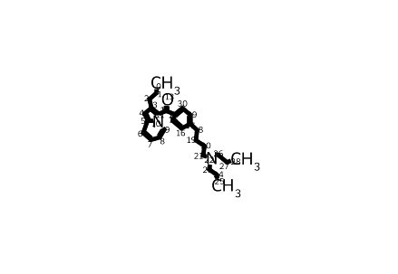 CCCc1cc2ccccn2c1C(=O)c1ccc(CCCCN(CCC)CCC)cc1